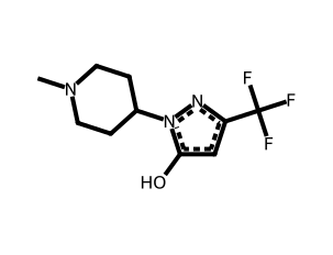 CN1CCC(n2nc(C(F)(F)F)cc2O)CC1